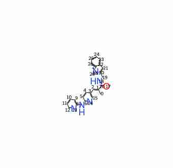 CC(=Cc1ccc(Nc2ccccn2)nc1)C(=O)NCc1cc2ccccc2n1C